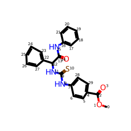 COC(=O)c1ccc(NC(=S)NC(C(=O)Nc2ccccc2)c2ccccc2)cc1